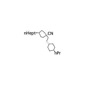 CCCCCCC[C@H]1CC[C@@](C#N)(CC[C@H]2CC[C@H](CCC)CC2)CC1